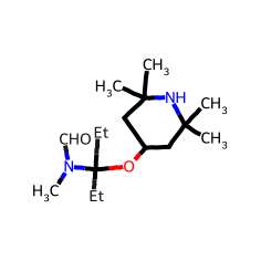 CCC(CC)(OC1CC(C)(C)NC(C)(C)C1)N(C)C=O